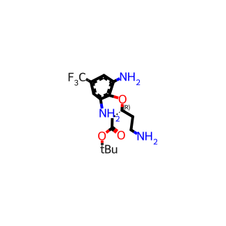 CC(C)(C)OC(=O)C[C@@H](CCN)Oc1c(N)cc(C(F)(F)F)cc1N